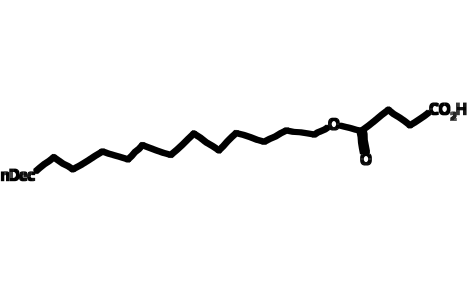 CCCCCCCCCCCCCCCCCCCCCCOC(=O)CCC(=O)O